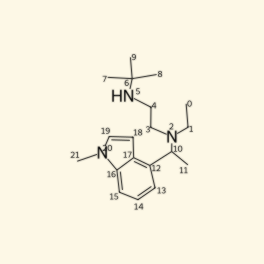 CCN(CCNC(C)(C)C)C(C)c1cccc2c1ccn2C